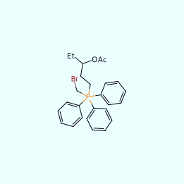 CCC(CCP(CBr)(c1ccccc1)(c1ccccc1)c1ccccc1)OC(C)=O